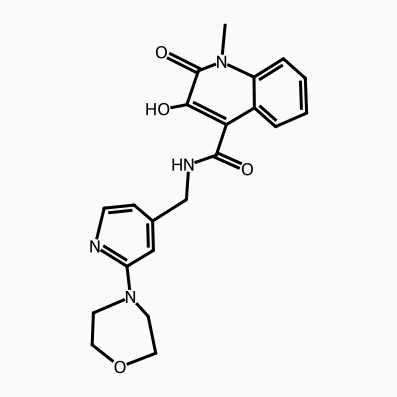 Cn1c(=O)c(O)c(C(=O)NCc2ccnc(N3CCOCC3)c2)c2ccccc21